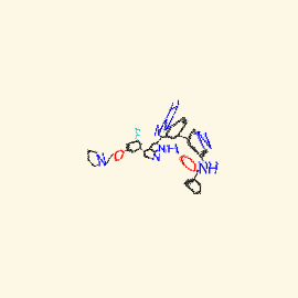 O=C(Nc1cncc(-c2ccc3[nH]nc(-c4cc5c(-c6cc(F)cc(OCCN7CCCC7)c6)ccnc5[nH]4)c3c2)c1)c1ccccc1